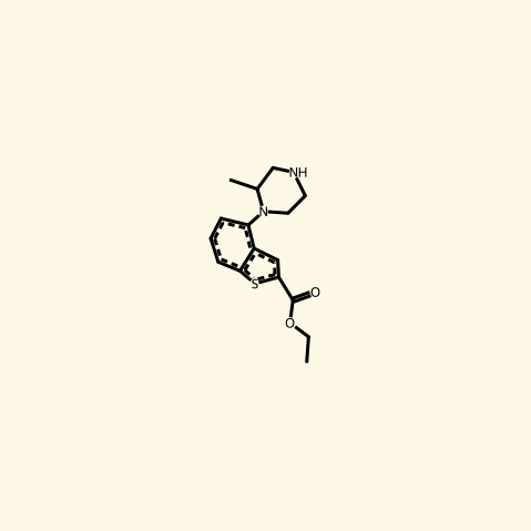 CCOC(=O)c1cc2c(N3CCNCC3C)cccc2s1